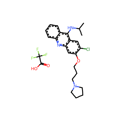 CC(C)Nc1c2ccccc2nc2cc(OCCCN3CCCC3)c(Cl)cc12.O=C(O)C(F)(F)F